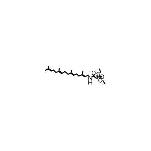 CCOP(=O)(CC(=O)NC/C=C(\C)CC/C=C(\C)CC/C=C(\C)CCC=C(C)C)OCC